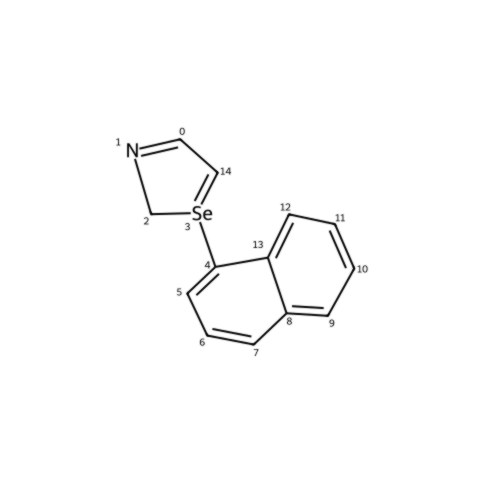 C1=NC[Se](c2cccc3ccccc23)=C1